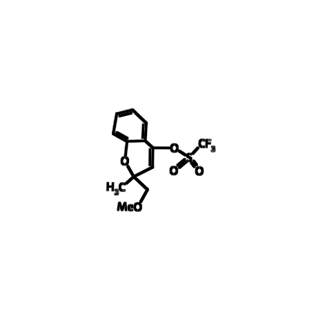 COCC1(C)C=C(OS(=O)(=O)C(F)(F)F)c2ccccc2O1